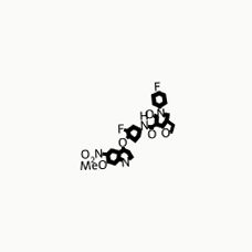 COc1cc2nccc(Oc3ccc(NC(=O)c4c5c(cn(-c6ccc(F)cc6)c4=O)CCO5)cc3F)c2cc1[N+](=O)[O-]